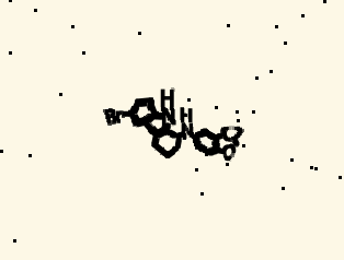 Brc1ccc2[nH]c3c(c2c1)CCCC3Nc1ccc2c(c1)OCO2